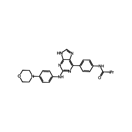 CC(C)C(=O)Nc1ccc(-c2nc(Nc3ccc(N4CCOCC4)cc3)nc3[nH]cnc23)cc1